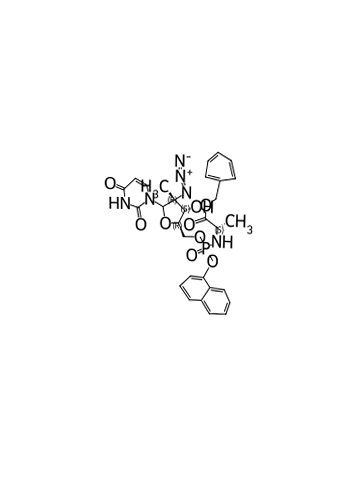 C[C@H](NP(=O)(OC[C@H]1OC(n2ccc(=O)[nH]c2=O)[C@](C)(N=[N+]=[N-])[C@@H]1O)Oc1cccc2ccccc12)C(=O)OCc1ccccc1